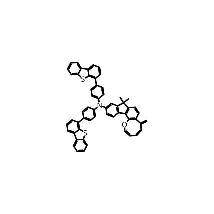 C=C1/C=C\C=C/Oc2c1ccc1c2-c2ccc(N(c3ccc(-c4cccc5c4sc4ccccc45)cc3)c3ccc(-c4cccc5c4sc4ccccc45)cc3)cc2C1(C)C